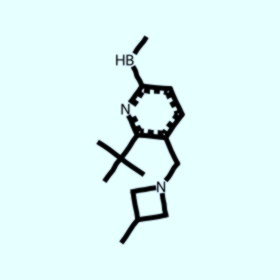 CBc1ccc(CN2CC(C)C2)c(C(C)(C)C)n1